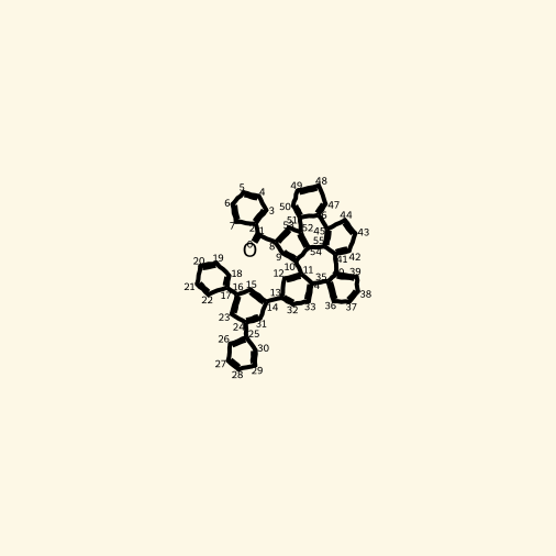 O=C(c1ccccc1)c1cc2c3cc(-c4cc(-c5ccccc5)cc(-c5ccccc5)c4)ccc3c3ccccc3c3cccc4c5ccccc5c(c1)c2c34